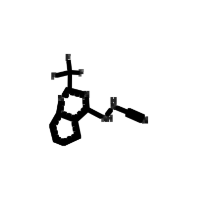 N#CNNc1nc(C(F)(F)F)nc2ccccc12